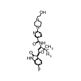 CC1(C)O/C(=C2/C(=O)Nc3cc(F)ccc32)C=C1NC(=O)c1ccc(N2CCN(CCO)CC2)nc1